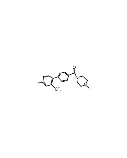 Cc1ccc(-c2ccc(C(=O)N3CCN(C)CC3)cc2)c(C(F)(F)F)c1